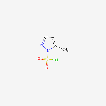 Cc1ccnn1S(=O)(=O)Cl